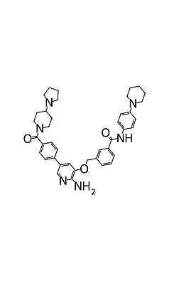 Nc1ncc(-c2ccc(C(=O)N3CCC(N4CCCC4)CC3)cc2)cc1OCc1cccc(C(=O)Nc2ccc(N3CCCCC3)cc2)c1